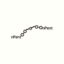 CCCCCC1CCC(C2CCC(C=CCOCC=CC3CCC(C4CCC(CCCCC)CC4)CC3)CC2)CC1